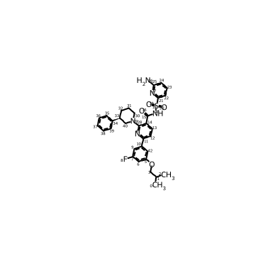 CC(C)COc1cc(F)cc(-c2ccc(C(=O)NS(=O)(=O)c3cccc(N)n3)c(N3CCC[C@H](c4ccccc4)C3)n2)c1